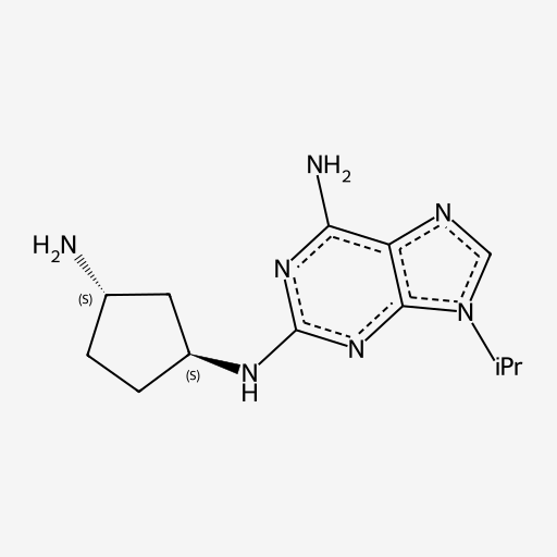 CC(C)n1cnc2c(N)nc(N[C@H]3CC[C@H](N)C3)nc21